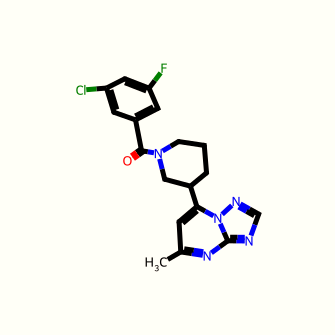 Cc1cc(C2CCCN(C(=O)c3cc(F)cc(Cl)c3)C2)n2ncnc2n1